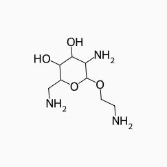 NCCOC1OC(CN)C(O)C(O)C1N